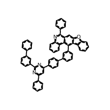 c1ccc(-c2cccc(-c3nc(-c4ccccc4)cc(-c4ccc(-c5cccc(-c6c7c(cc8c(-c9ccccc9)nc9ccccc9c68)oc6ccccc67)c5)cc4)n3)c2)cc1